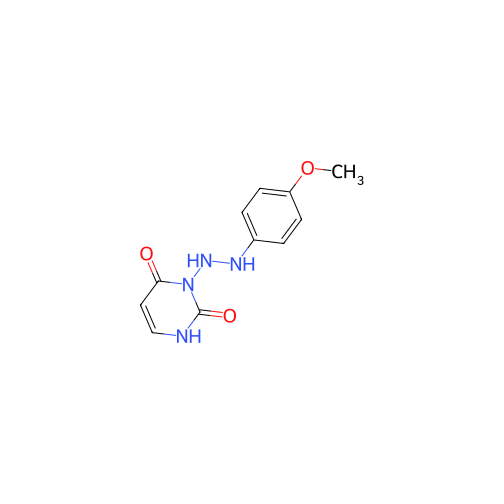 COc1ccc(NNn2c(=O)cc[nH]c2=O)cc1